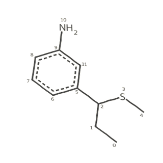 CCC(SC)c1cccc(N)c1